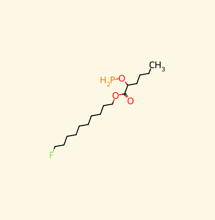 CCCCC(OP)C(=O)OCCCCCCCCCCF